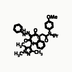 COc1ccc(N(C(=O)Cn2c(=O)/c(=N/Nc3ccccc3)c(=O)n(-c3c(C)nn(C)c3C)c3ccccc32)C(C)C)cc1